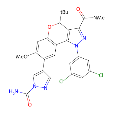 CNC(=O)c1nn(-c2cc(Cl)cc(Cl)c2)c2c1C(C(C)(C)C)Oc1cc(OC)c(-c3cnn(C(N)=O)c3)cc1-2